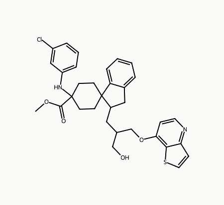 COC(=O)C1(Nc2cccc(Cl)c2)CCC2(CC1)c1ccccc1CC2CC(CO)COc1ccnc2ccsc12